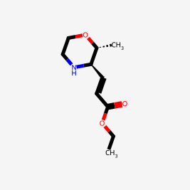 CCOC(=O)C=C[C@H]1NCCO[C@@H]1C